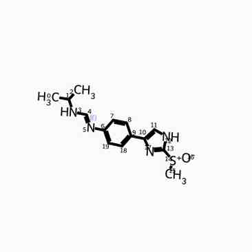 CC(C)N/C=N/c1ccc(-c2c[nH]c([S+](C)[O-])n2)cc1